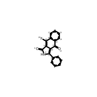 O=C1NC(c2ccccc2)=C2C(=O)c3ccccc3C(F)=C12